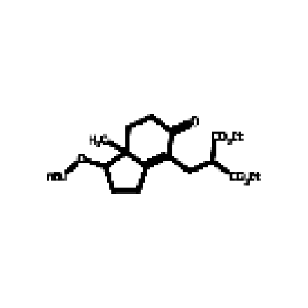 CCCCOC1CCC2=C(CC(C(=O)OCC)C(=O)OCC)C(=O)CCC21C